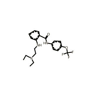 CCN(CC)CCNc1ccccc1C(=O)Nc1ccc(OC(F)(F)F)cc1